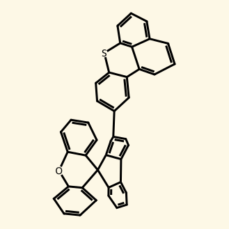 c1ccc2c(c1)Oc1ccccc1C21c2ccccc2-c2ccc(-c3ccc4c(c3)-c3cccc5cccc(c35)S4)cc21